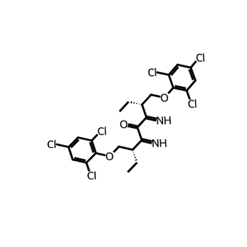 CC[C@H](COc1c(Cl)cc(Cl)cc1Cl)C(=N)C(=O)C(=N)[C@H](CC)COc1c(Cl)cc(Cl)cc1Cl